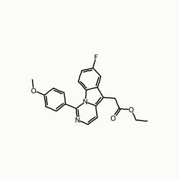 CCOC(=O)Cc1c2cc(F)ccc2n2c(-c3ccc(OC)cc3)nccc12